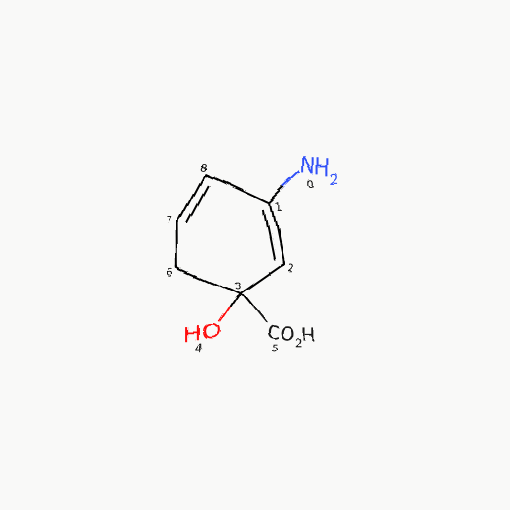 NC1=CC(O)(C(=O)O)CC=C1